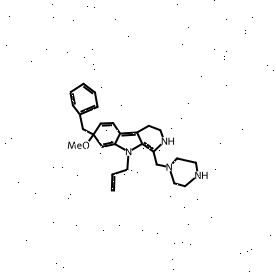 C=CCn1c2c(c3c1=C(CN1CCNCC1)NCC3)C=CC(Cc1ccccc1)(OC)C=2